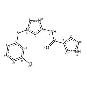 O=C(Nc1cn(Cc2cccc(Cl)c2)cn1)c1cc[nH]c1